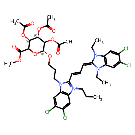 CCC[n+]1c(C=CC=C2N(CC)c3cc(Cl)c(Cl)cc3N2CC)n(CCCO[C@@H]2OC(C(=O)OC)[C@@H](OC(C)=O)[C@@H](OC(C)=O)C2OC(C)=O)c2cc(Cl)c(Cl)cc21